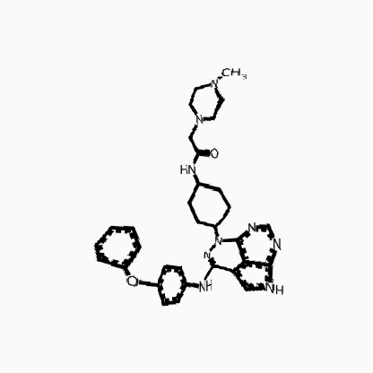 CN1CCN(CC(=O)NC2CCC(N3N=C(Nc4ccc(Oc5ccccc5)cc4)c4c[nH]c5ncnc3c45)CC2)CC1